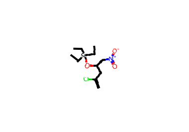 C=C(Cl)CC(C[N+](=O)[O-])O[Si](CC)(CC)CC